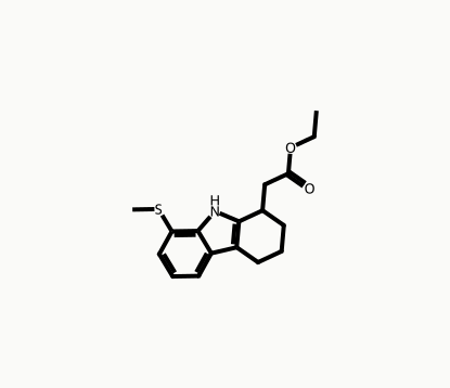 CCOC(=O)CC1CCCc2c1[nH]c1c(SC)cccc21